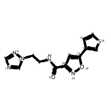 O=C(NCCn1cncn1)c1cc(-c2ccsc2)on1